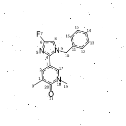 Cc1cc(-c2nc(F)cn2Cc2ccccc2)cn(C)c1=O